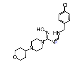 ON=C(/N=C\NCc1ccc(Cl)cc1)N1CCN(C2CCOCC2)CC1